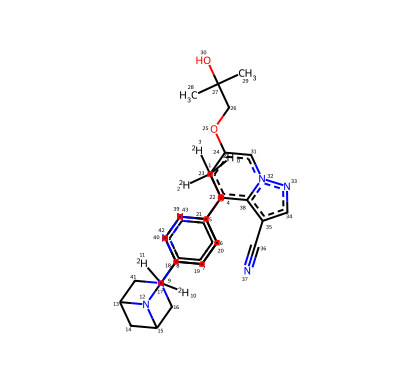 [2H]C([2H])([2H])Oc1ccc(C([2H])([2H])N2C3CC2CN(c2ccc(-c4cc(OCC(C)(C)O)cn5ncc(C#N)c45)cn2)C3)cn1